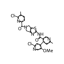 COc1cnc(Cl)cc1-c1cc(C)ncc1C(=O)Nc1nc2c(s1)CN(C(=O)c1ccc(C)c(Cl)n1)C2